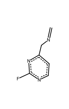 C=NCc1ccnc(F)n1